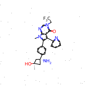 Cn1c(-c2ccc([C@]3(N)C[C@](C)(O)C3)cc2)c(-c2ccccn2)c2c(=O)n(CC(F)(F)F)cnc21